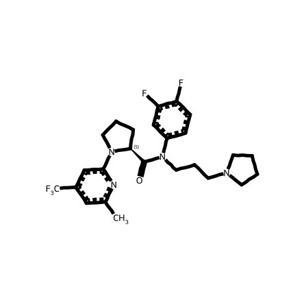 Cc1cc(C(F)(F)F)cc(N2CCC[C@H]2C(=O)N(CCCN2CCCC2)c2ccc(F)c(F)c2)n1